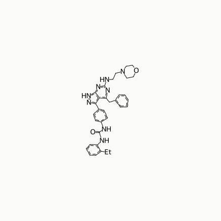 CCc1ccccc1NC(=O)Nc1ccc(-c2n[nH]c3nc(NCCN4CCOCC4)nc(Cc4ccccc4)c23)cc1